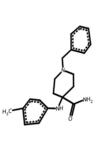 Cc1ccc(NC2(C(N)=O)CCN(Cc3ccccc3)CC2)cc1